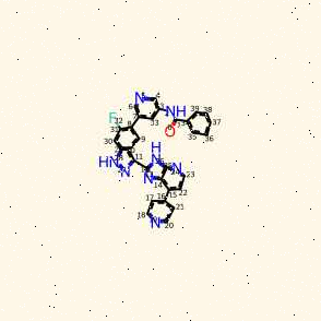 O=C(Nc1cncc(-c2cc3c(-c4nc5c(-c6ccncc6)ccnc5[nH]4)n[nH]c3cc2F)c1)c1ccccc1